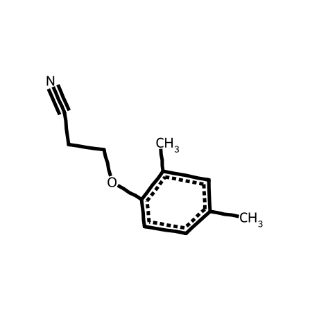 Cc1ccc(OCCC#N)c(C)c1